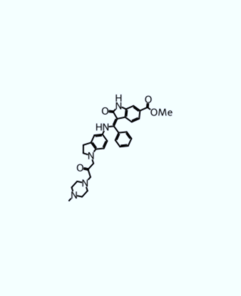 COC(=O)c1ccc2c(c1)NC(=O)/C2=C(\Nc1ccc2c(c1)CCN2CC(=O)CN1CCN(C)CC1)c1ccccc1